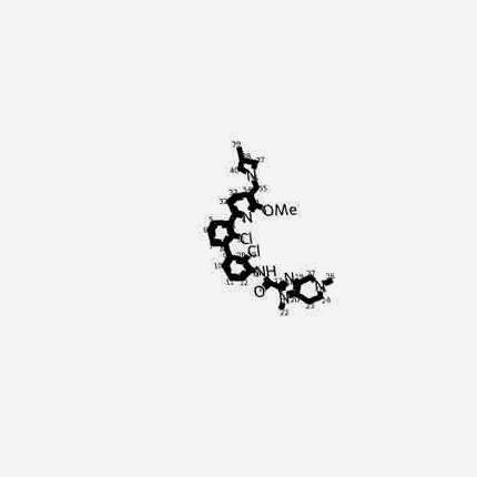 COc1nc(-c2cccc(-c3cccc(NC(=O)c4nc5c(n4C)CCN(C)C5)c3Cl)c2Cl)ccc1CN1CC(C)C1